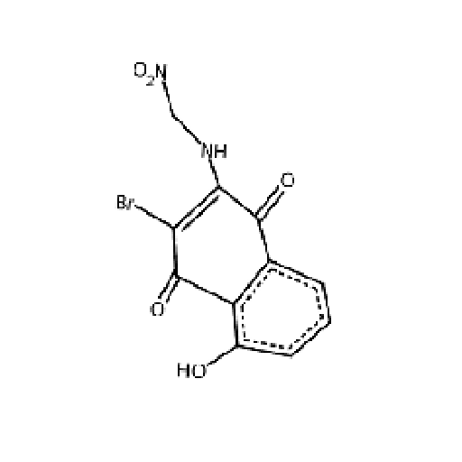 O=C1C(NC[N+](=O)[O-])=C(Br)C(=O)c2c(O)cccc21